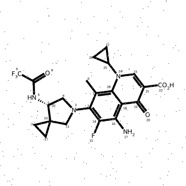 Cc1c(N2C[C@@H](NC(=O)C(F)(F)F)C3(CC3)C2)c(F)c(N)c2c(=O)c(C(=O)O)cn(C3CC3)c12